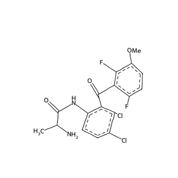 COc1ccc(F)c(C(=O)c2c(NC(=O)C(C)N)ccc(Cl)c2Cl)c1F